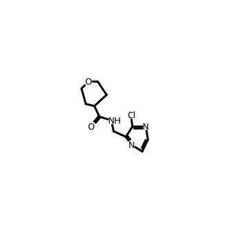 O=C(NCc1nccnc1Cl)C1CCOCC1